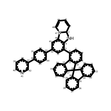 C1=CC2Nc3c(-c4cccc5c4-c4ccccc4C54c5ccccc5-c5ccccc54)cc(-c4ccc(-c5cccnc5)cc4)cc3N2C=C1